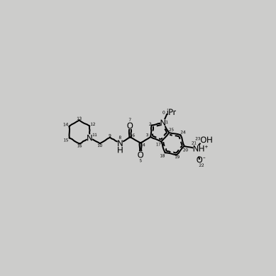 CC(C)n1cc(C(=O)C(=O)NCCN2CCCCC2)c2ccc([NH+]([O-])O)cc21